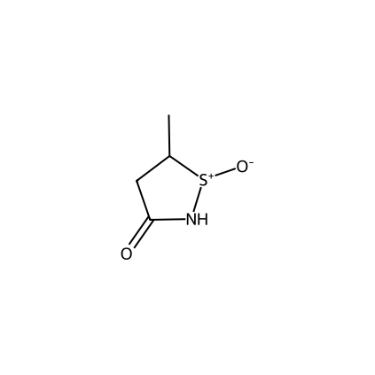 CC1CC(=O)N[S+]1[O-]